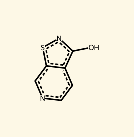 Oc1nsc2cnccc12